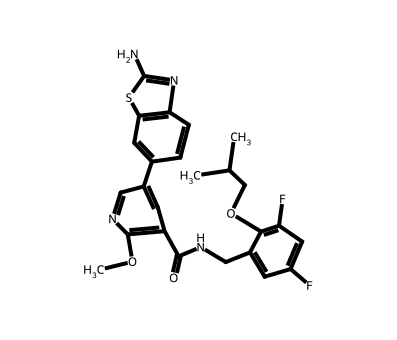 COc1ncc(-c2ccc3nc(N)sc3c2)cc1C(=O)NCc1cc(F)cc(F)c1OCC(C)C